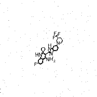 Nc1c(-c2nc3ccc(N4CCCC(C(F)(F)F)C4)cc3[nH]2)c(=O)[nH]c2cc(F)ccc12